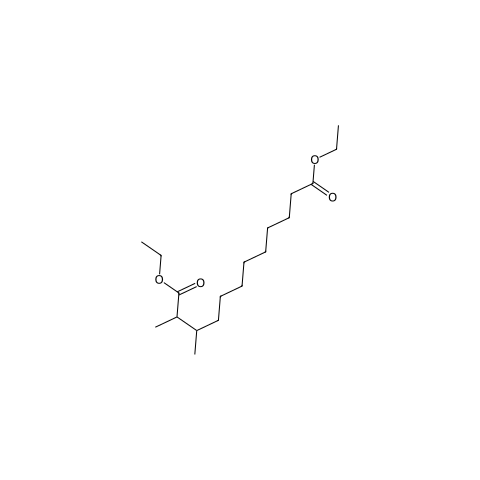 CCOC(=O)CCCCCCCCC(C)C(C)C(=O)OCC